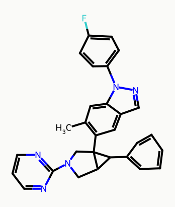 Cc1cc2c(cnn2-c2ccc(F)cc2)cc1C12CN(c3ncccn3)CC1C2c1ccccc1